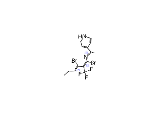 CC/C=C(Br)/C(=C(Br)\N=C(/C)C1=CCNC=C1)C(F)(F)F